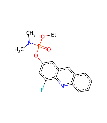 CCOP(=O)(Oc1cc(F)c2nc3ccccc3cc2c1)N(C)C